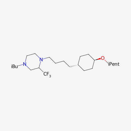 CCCC(C)O[C@H]1CC[C@H](CCCCN2CCN(C(C)CC)CC2C(F)(F)F)CC1